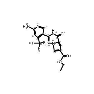 CCOC(=O)c1cc2c(=O)[nH]c(-c3cnc(N)cc3C(F)(F)F)nn2c1